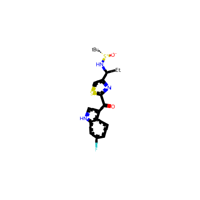 CCC(N[S@@+]([O-])C(C)(C)C)c1csc(C(=O)c2c[nH]c3cc(F)ccc23)n1